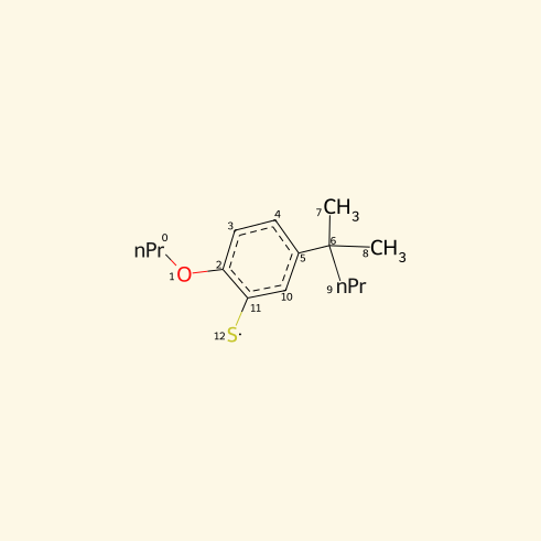 CCCOc1ccc(C(C)(C)CCC)cc1[S]